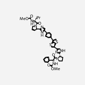 COC(=O)N[C@H](C(=O)N1CC=CC1c1ncc(-c2ccc(-c3csc4c(-c5c[nH]c([C@@H]6CCCN6C(=O)[C@H](NC(=O)OC)c6ccccc6)n5)csc34)cc2)[nH]1)C(C)C